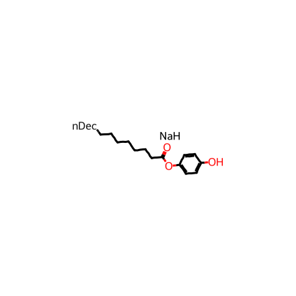 CCCCCCCCCCCCCCCCCC(=O)Oc1ccc(O)cc1.[NaH]